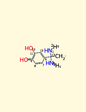 [2H]NC([CH2])(N[2H])c1ccc(O)c(O)c1